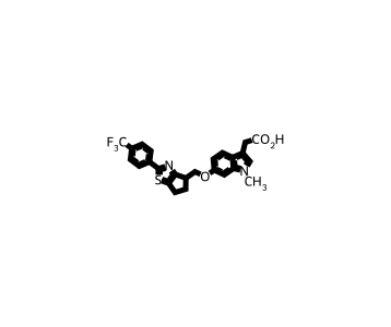 Cn1cc(CC(=O)O)c2ccc(OCC3CCc4sc(-c5ccc(C(F)(F)F)cc5)nc43)cc21